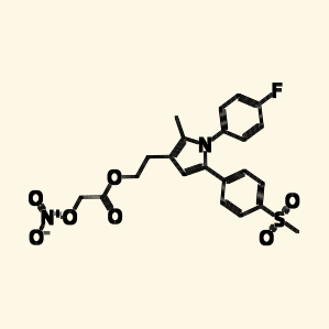 Cc1c(CCOC(=O)CO[N+](=O)[O-])cc(-c2ccc(S(C)(=O)=O)cc2)n1-c1ccc(F)cc1